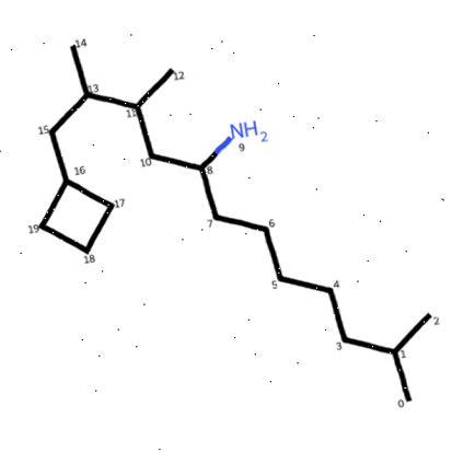 CC(C)CCCCCC(N)CC(C)C(C)CC1CCC1